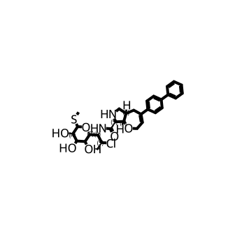 CSC1O[C@H]([C@H](NC(=O)[C@H]2NC[C@@H]3CC(c4ccc(-c5ccccc5)cc4)=CCO[C@H]32)[C@H](C)Cl)C(O)C(O)[C@H]1O